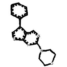 c1ccc(-c2csc3nc(N4CCOCC4)ncc23)cc1